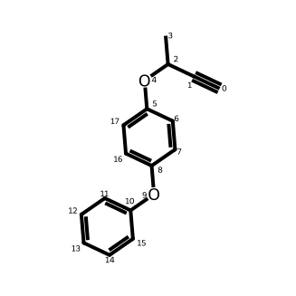 C#CC(C)Oc1ccc(Oc2ccccc2)cc1